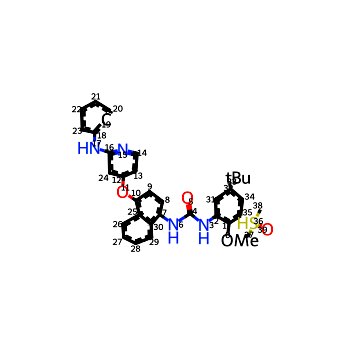 COc1c(NC(=O)Nc2ccc(Oc3ccnc(Nc4ccccc4)c3)c3ccccc23)cc(C(C)(C)C)cc1[SH](C)(C)=O